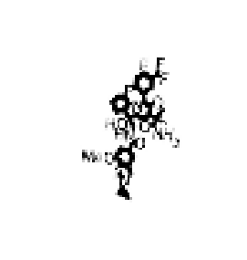 COc1cc(C(=O)NC[C@@](O)(c2ccccc2)c2cc3c(c(-c4cc(C(F)F)c(F)cc4F)n2)OC[C@]3(C)C(N)=O)cc2cn(C3CC3)nc12